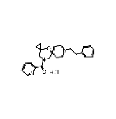 Cl.O=C(c1ccccn1)N1CC2(CCN(CCc3ccccc3)CC2)OC2(CC2)C1